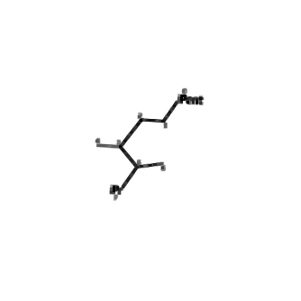 CCCC(C)CCC(C)C(C)C(C)C